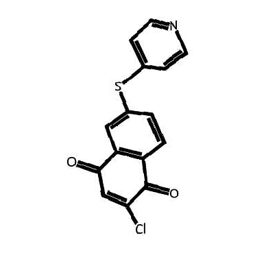 O=C1C=C(Cl)C(=O)c2ccc(Sc3ccncc3)cc21